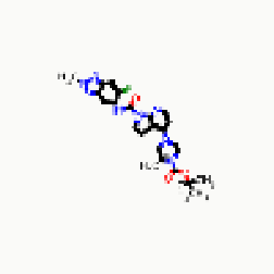 C[C@@H]1CN(c2ccnc3c2CCN3C(=O)Nc2cc3nn(C)nc3cc2F)CCN1C(=O)OC(C)(C)C